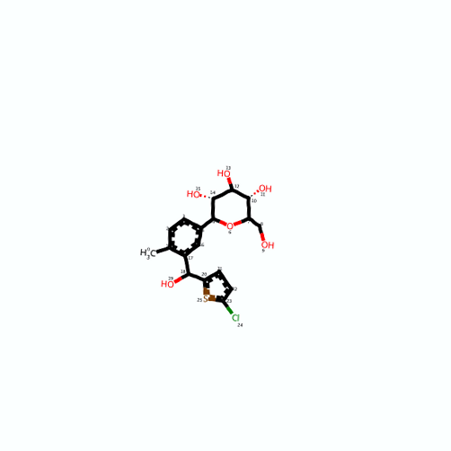 Cc1ccc(C2OC(CO)[C@@H](O)C(O)[C@H]2O)cc1C(O)c1ccc(Cl)s1